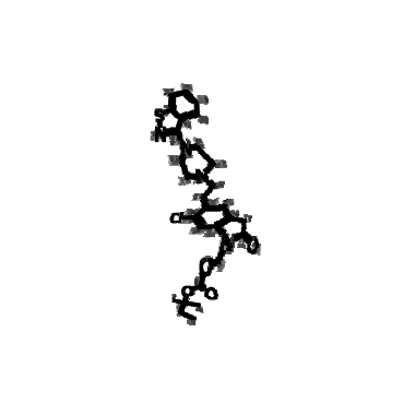 CCC(C)(C)OC(=O)OCN1C(=O)Cc2cc(CCN3CCN(c4nsc5ccccc45)CC3)c(Cl)cc21